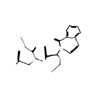 CCC(C(=O)N[C@@H](CC(=O)O)C(=O)CF)n1ccc2ccccc2c1=O